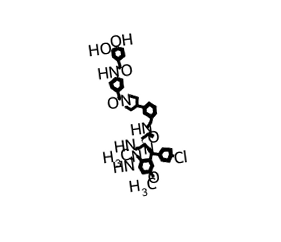 COc1ccc2c(c1)C(c1ccc(Cl)cc1)=N[C@@H](CC(=O)NCc1cccc(C3CCN(C(=O)c4ccc(NC(=O)c5ccc(O)c(O)c5)cc4)CC3)c1)C(=N)N2C(C)=N